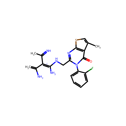 C=C(N)/C(C(C)=N)=C(\N)NCc1nc2scc(C)c2c(=O)n1-c1ccccc1F